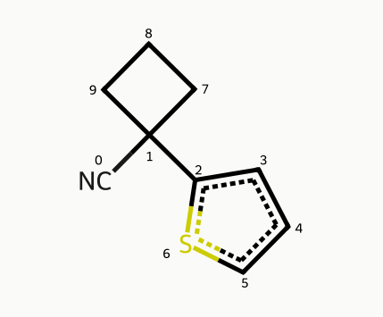 N#CC1(c2cccs2)CCC1